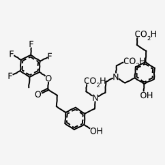 Cc1c(F)c(F)c(F)c(F)c1OC(=O)CCc1ccc(O)c(CN(CCN(CC(=O)O)Cc2cc(CCC(=O)O)ccc2O)CC(=O)O)c1